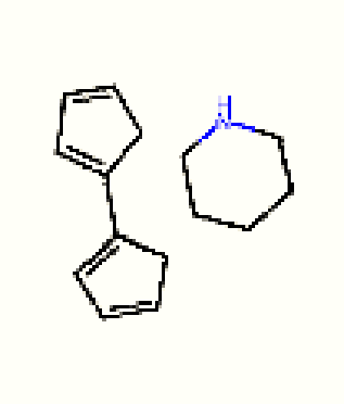 C1=CCC(C2=CC=CC2)=C1.C1CCNCC1